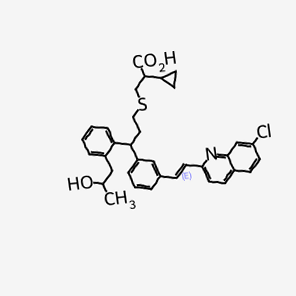 CC(O)Cc1ccccc1C(CCSCC(C(=O)O)C1CC1)c1cccc(/C=C/c2ccc3ccc(Cl)cc3n2)c1